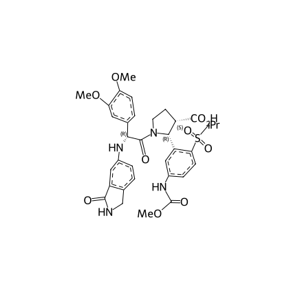 COC(=O)Nc1ccc(S(=O)(=O)C(C)C)c([C@H]2[C@@H](C(=O)O)CCN2C(=O)[C@H](Nc2ccc3c(c2)C(=O)NC3)c2ccc(OC)c(OC)c2)c1